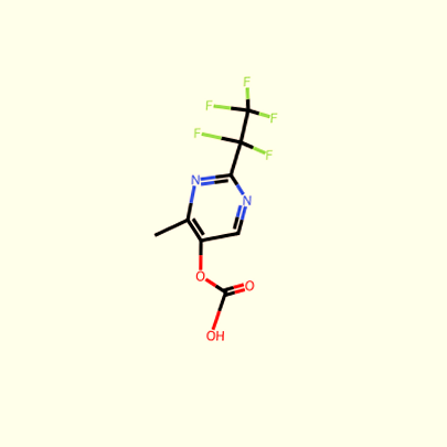 Cc1nc(C(F)(F)C(F)(F)F)ncc1OC(=O)O